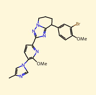 COc1ccc(C2CCCn3nc(-c4ccc(-n5cnc(C)c5)c(OC)n4)nc32)cc1Br